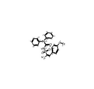 CCOc1ccc(C=C(C)S(=O)(=O)NC(=O)N(c2ccccc2)c2ccccc2)cc1